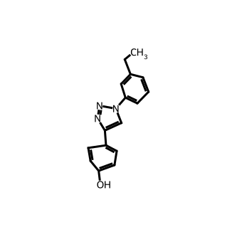 CCc1cccc(-n2cc(-c3ccc(O)cc3)nn2)c1